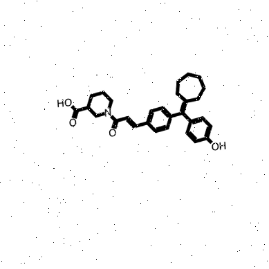 O=C(O)C1CCCN(C(=O)C=Cc2ccc(C(=C3CCCCCC3)c3ccc(O)cc3)cc2)C1